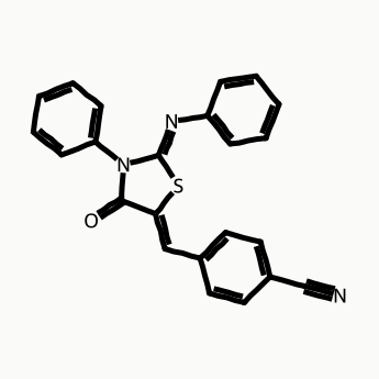 N#Cc1ccc(/C=C2\S/C(=N\c3ccccc3)N(c3ccccc3)C2=O)cc1